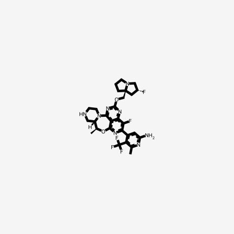 Cc1nc(N)cc(-c2nc3c4c(nc(OC[C@@]56CCCN5C[C@H](F)C6)nc4c2F)N2CCNC[C@H]2[C@H](C)O3)c1C(F)(F)F